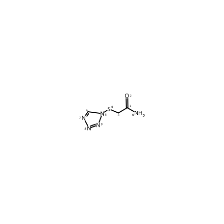 NC(=O)CSn1cnnn1